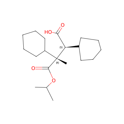 CC(C)OC(=O)[C@](C)(C1CCCCC1)[C@@H](C(=O)O)C1CCCCC1